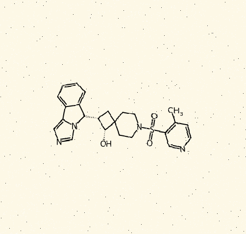 Cc1ccncc1S(=O)(=O)N1CCC2(CC1)C[C@@H](C1c3ccccc3-c3cncn31)[C@H]2O